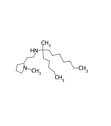 CCCCCCCC(C)(CCCCC)NCCC1CCCN1C